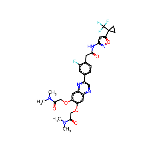 CN(C)C(=O)COc1cc2ncc(-c3ccc(CC(=O)Nc4cc(C5(C(F)(F)F)CC5)on4)c(F)c3)nc2cc1OCC(=O)N(C)C